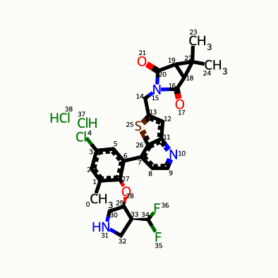 Cc1cc(Cl)cc(-c2ccnc3cc(CN4C(=O)C5C(C4=O)C5(C)C)sc23)c1O[C@@H]1CNC[C@@H]1C(F)F.Cl.Cl